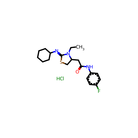 CCN1C(=NC2CCCCC2)SCC1CC(=O)Nc1ccc(F)cc1.Cl